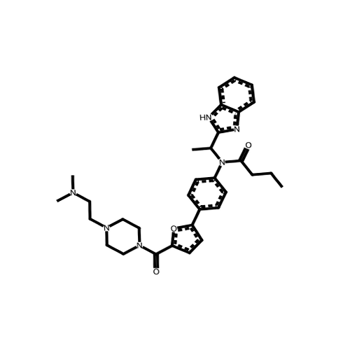 CCCC(=O)N(c1ccc(-c2ccc(C(=O)N3CCN(CCN(C)C)CC3)o2)cc1)C(C)c1nc2ccccc2[nH]1